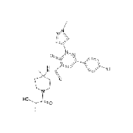 C[C@H](O)C(=O)N1CCC(C)(NC(=O)c2cc(-c3ccc(Cl)cc3)nn(-c3cnn(C)c3)c2=O)CC1